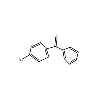 CCc1ccc(C(=S)c2ccccc2)cc1